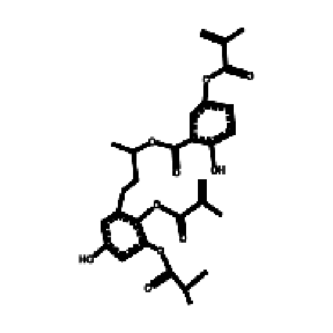 C=C(C)C(=O)Oc1ccc(O)c(C(=O)OC(C)CCc2cc(O)cc(OC(=O)C(C)C)c2OC(=O)C(=C)C)c1